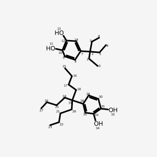 CCC(CC)(CC)c1ccc(O)c(O)c1.CCCCC(CCCC)(CCCC)c1ccc(O)c(O)c1